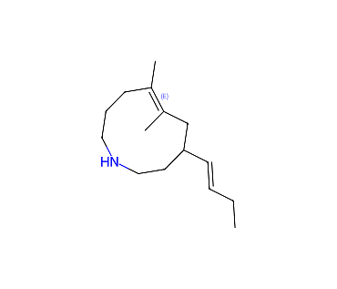 CCC=CC1CCNCCC/C(C)=C(\C)C1